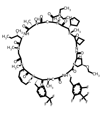 CCO[C@@H]1C[C@H]2C(=O)NC3(CCC3)C(=O)N(C)[C@@H](C3CCCC3)C(=O)N(C)[C@H](C(=O)N(CC)CC)CC(=O)N(C)[C@@H](C)C(=O)N[C@@H]([C@@H](C)CC)C(=O)N(C)CC(=O)N(C)[C@H]3C/C=C\CCN(C3=O)[C@@H](Cc3ccc(C(F)(F)F)cc3)C(=O)N(C)CC(=O)N[C@@H](CCc3cc(F)c(C(F)(F)F)c(F)c3)C(=O)N2C1